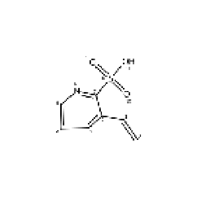 C=Cc1cccnc1S(=O)(=O)O